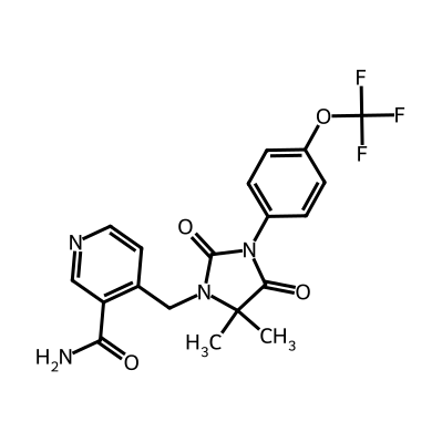 CC1(C)C(=O)N(c2ccc(OC(F)(F)F)cc2)C(=O)N1Cc1ccncc1C(N)=O